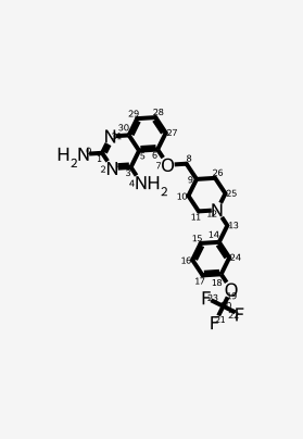 Nc1nc(N)c2c(OCC3CCN(Cc4cccc(OC(F)(F)F)c4)CC3)cccc2n1